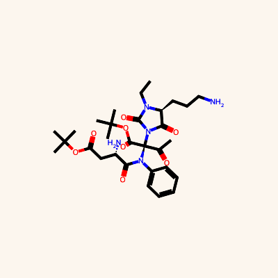 CCN1C(=O)N([C@](C(C)=O)(C(=O)OC(C)(C)C)N(C(=O)[C@@H](N)CC(=O)OC(C)(C)C)c2ccccc2)C(=O)[C@@H]1CCCN